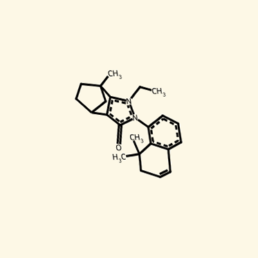 CCn1c2c(c(=O)n1-c1cccc3c1C(C)(C)CC=C3)C1CCC2(C)C1